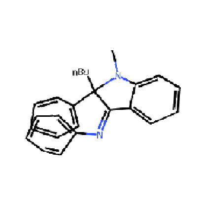 CCCCC1(c2ccccc2)/C(=N\c2ccccc2)c2ccccc2N1C